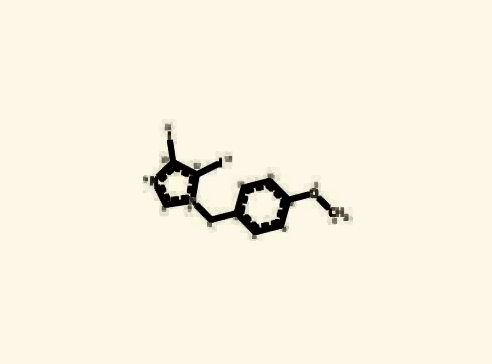 COc1ccc(Cn2cnc(I)c2I)cc1